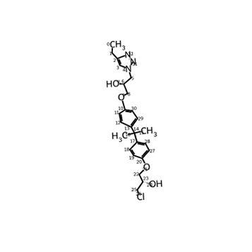 CCc1cn(C[C@H](O)COc2ccc(C(C)(C)c3ccc(OC[C@H](O)CCl)cc3)cc2)nn1